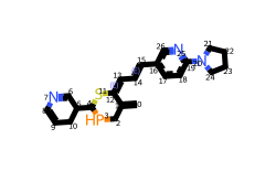 C=C1CPC(C2C=NC=CC2)S/C1=C/C=C/c1ccc(N2CCCC2)nc1